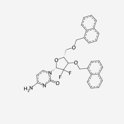 Nc1ccn([C@@H]2O[C@H](COCc3cccc4ccccc34)C(OCc3cccc4ccccc34)C2(F)F)c(=O)n1